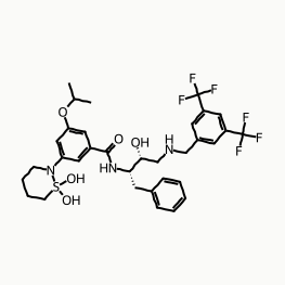 CC(C)Oc1cc(C(=O)N[C@@H](Cc2ccccc2)[C@H](O)CNCc2cc(C(F)(F)F)cc(C(F)(F)F)c2)cc(N2CCCCS2(O)O)c1